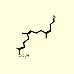 CC(=O)CCC=C(C)CCC=C(C)CCC=C(C)C(=O)O